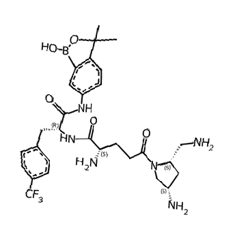 CC1(C)OB(O)c2cc(NC(=O)[C@@H](Cc3ccc(C(F)(F)F)cc3)NC(=O)[C@@H](N)CCC(=O)N3C[C@@H](N)C[C@H]3CN)ccc21